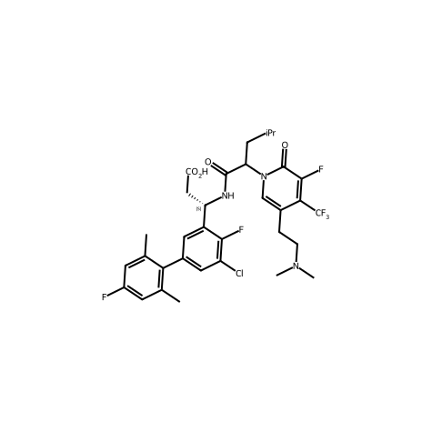 Cc1cc(F)cc(C)c1-c1cc(Cl)c(F)c([C@H](CC(=O)O)NC(=O)C(CC(C)C)n2cc(CCN(C)C)c(C(F)(F)F)c(F)c2=O)c1